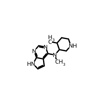 CC1CCNCC1N(C)c1ncnc2[nH]ccc12